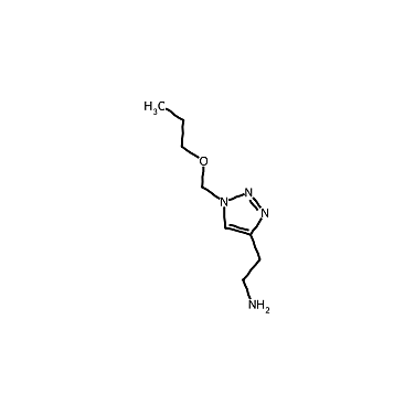 CCCOCn1cc(CCN)nn1